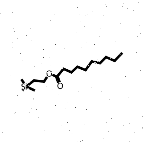 CCCCCCCCCC(=O)OCC[Si](C)(C)C